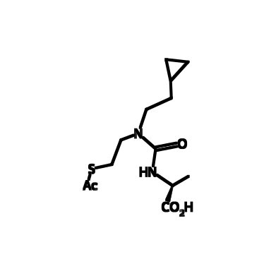 CC(=O)SCCN(CCC1CC1)C(=O)N[C@@H](C)C(=O)O